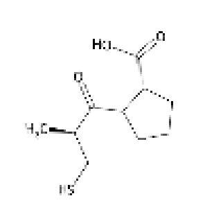 C[C@H](CS)C(=O)C1CCC[C@H]1C(=O)O